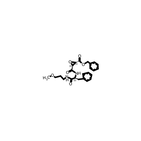 COCCCNC(=O)[C@H](Cc1ccccc1)NC(=O)[C@H]1O[C@@H]1C(=O)OCc1ccccc1